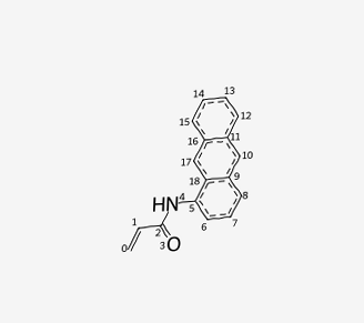 C=CC(=O)Nc1cccc2cc3ccccc3cc12